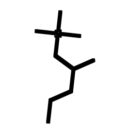 CCCC(C)C[Si](C)(C)C